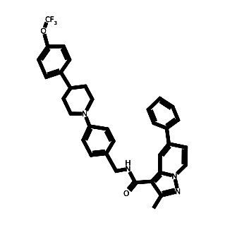 Cc1nn2ccc(-c3ccccc3)cc2c1C(=O)NCc1ccc(N2CCC(c3ccc(OC(F)(F)F)cc3)CC2)cc1